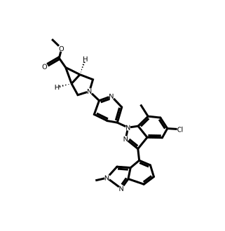 COC(=O)C1[C@H]2CN(c3ccc(-n4nc(-c5cccc6nn(C)cc56)c5cc(Cl)cc(C)c54)cn3)C[C@@H]12